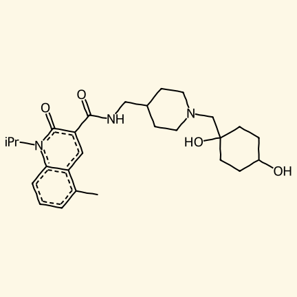 Cc1cccc2c1cc(C(=O)NCC1CCN(CC3(O)CCC(O)CC3)CC1)c(=O)n2C(C)C